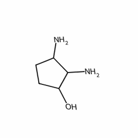 NC1CCC(O)C1N